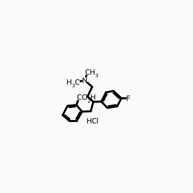 CN(C)CCC(Cc1ccccc1C(=O)O)c1ccc(F)cc1.Cl